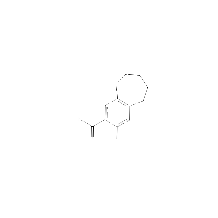 Cc1cc2c(cc1C(N)=O)CCCCC2